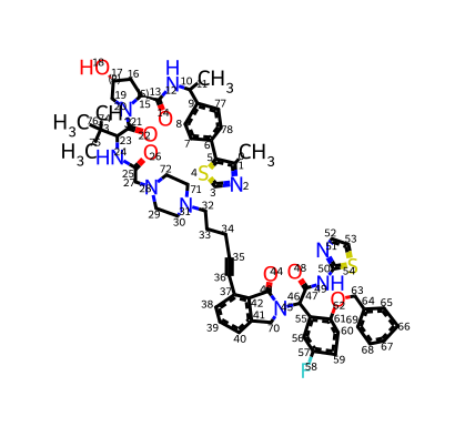 Cc1ncsc1-c1ccc(C(C)NC(=O)[C@@H]2C[C@@H](O)CN2C(=O)C(NC(=O)CN2CCN(CCCC#Cc3cccc4c3C(=O)N(C(C(=O)Nc3nccs3)c3cc(F)ccc3OCc3ccccc3)C4)CC2)C(C)(C)C)cc1